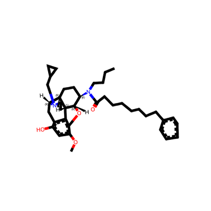 CCCCN(C(=O)CCCCCCCc1ccccc1)[C@@H]1CC[C@H]2[C@H]3Cc4c(O)cc(OC)c5c4[C@@]2(CCN3CC2CC2)[C@H]1O5